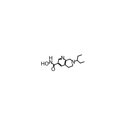 CCC(CC)N1CCc2cc(C(=O)NO)cnc2C1